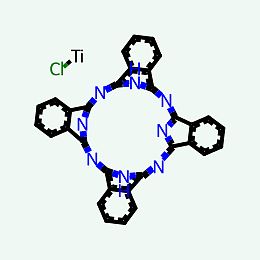 [Cl][Ti].c1ccc2c(c1)-c1nc-2nc2[nH]c(nc3nc(nc4[nH]c(n1)c1ccccc41)-c1ccccc1-3)c1ccccc21